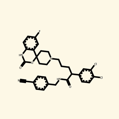 N#Cc1ccc(CNC(=O)C(CCCN2CCC3(CC2)OC(=O)Nc2ccc(F)cc23)c2ccc(Cl)c(Cl)c2)cc1